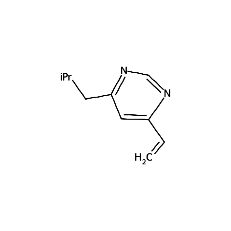 C=Cc1cc(CC(C)C)ncn1